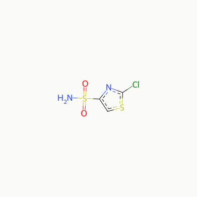 NS(=O)(=O)c1csc(Cl)n1